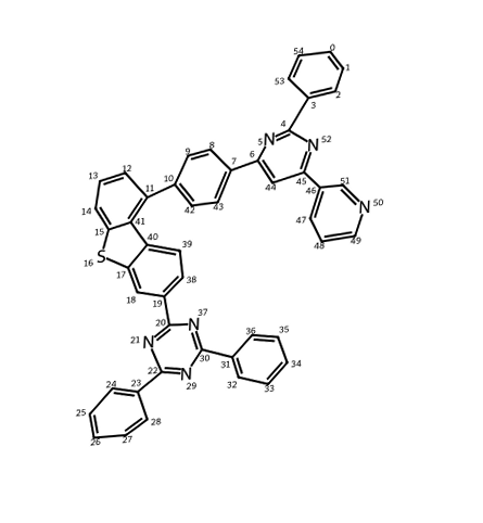 c1ccc(-c2nc(-c3ccc(-c4cccc5sc6cc(-c7nc(-c8ccccc8)nc(-c8ccccc8)n7)ccc6c45)cc3)cc(-c3cccnc3)n2)cc1